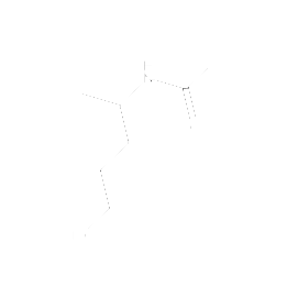 CC(CCCO)NC(=O)C(F)(F)F